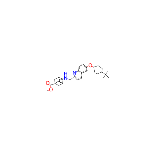 COC(=O)C12CCC(NCc3ccc4cc(OC5CCC(C(C)(C)C)CC5)ccc4n3)(CC1)CC2